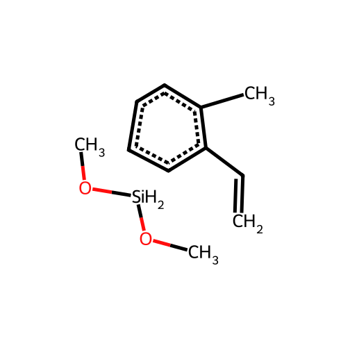 C=Cc1ccccc1C.CO[SiH2]OC